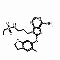 CCS(=O)(=O)NCCCn1c(Sc2cc3c(cc2I)CCO3)nc2c(N)ncnc21